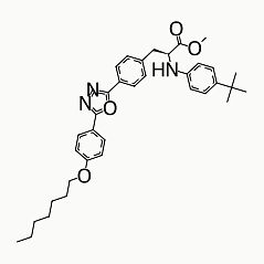 CCCCCCCOc1ccc(-c2nnc(-c3ccc(C[C@H](Nc4ccc(C(C)(C)C)cc4)C(=O)OC)cc3)o2)cc1